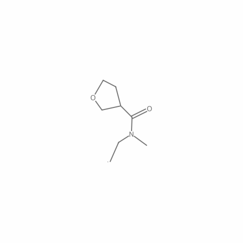 [CH2]CN(C)C(=O)C1CCOC1